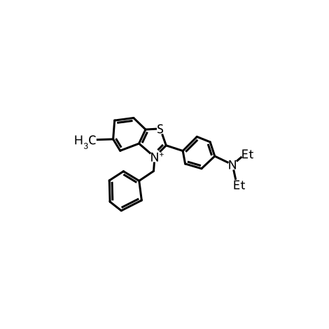 CCN(CC)c1ccc(-c2sc3ccc(C)cc3[n+]2Cc2ccccc2)cc1